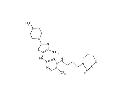 Cc1nc(N2CCN(C)CC2)sc1Nc1ncc(C(F)(F)F)c(NCCCN2CCCOCC2=O)n1